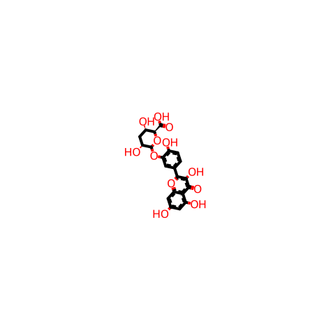 O=C(O)[C@H]1OC(Oc2cc(-c3oc4cc(O)cc(O)c4c(=O)c3O)ccc2O)[C@H](O)C[C@@H]1O